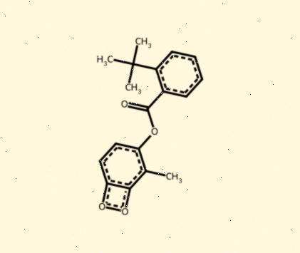 Cc1c(OC(=O)c2ccccc2C(C)(C)C)ccc2ooc12